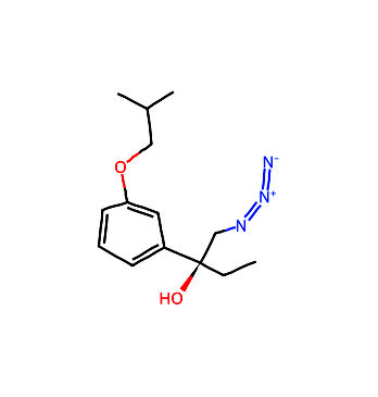 CC[C@@](O)(CN=[N+]=[N-])c1cccc(OCC(C)C)c1